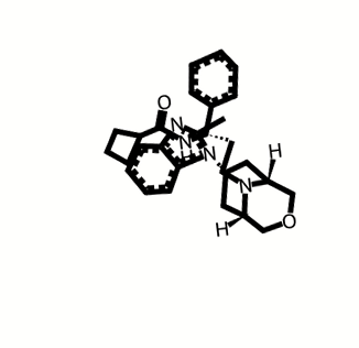 Cc1nc2ccccc2n1[C@H]1C[C@H]2COC[C@@H](C1)N2CC[C@H](NC(=O)C1CCC1)c1ccccc1